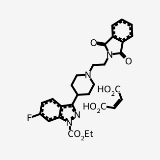 CCOC(=O)n1nc(C2CCN(CCN3C(=O)c4ccccc4C3=O)CC2)c2ccc(F)cc21.O=C(O)/C=C\C(=O)O